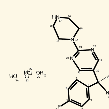 C[C@](N)(c1ccc(F)cc1)c1cnc(N2CCNCC2)nc1.Cl.Cl.Cl.O